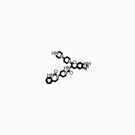 O=C(NC(Cc1ccc2[nH]nnc2c1)C(=O)N1CCC(N2CCNCC2)CC1)N1CCC(N2CCc3ccccc3NC2=O)CC1